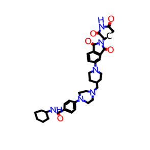 O=C1CCC(N2C(=O)c3ccc(N4CCC(CN5CCN(c6ccc(C(=O)NC7CCCCC7)cc6)CC5)CC4)cc3C2=O)C(=O)N1